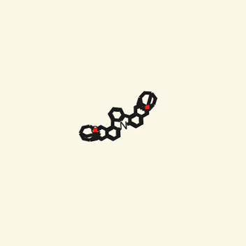 c1cc2c3c4cc5c(cc4ccc3n3c4ccc6cc7c(cc6c4c(c1)c23)C1CC2CC(CC7C2)C1)C1CC2CC(C1)CC5C2